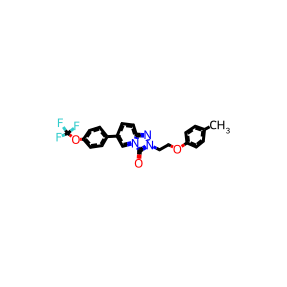 Cc1ccc(OCCn2nc3ccc(-c4ccc(OC(F)(F)F)cc4)cn3c2=O)cc1